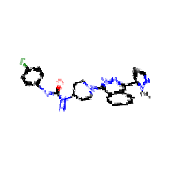 Cn1nccc1-c1nnc(N2CCC(NC(=O)Nc3ccc(F)cc3)CC2)c2ccccc12